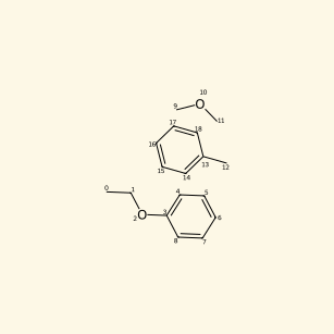 CCOc1ccccc1.COC.Cc1ccccc1